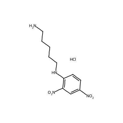 Cl.NCCCCCNc1ccc([N+](=O)[O-])cc1[N+](=O)[O-]